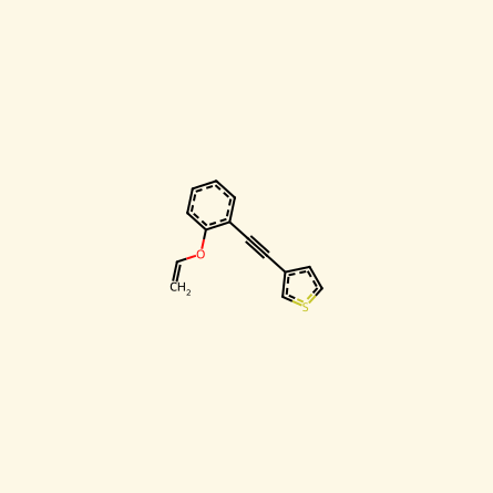 C=COc1ccccc1C#Cc1ccsc1